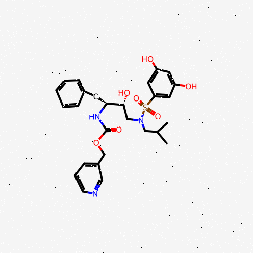 CC(C)CN(C[C@@H](O)[C@H](Cc1ccccc1)NC(=O)OCc1cccnc1)S(=O)(=O)c1cc(O)cc(O)c1